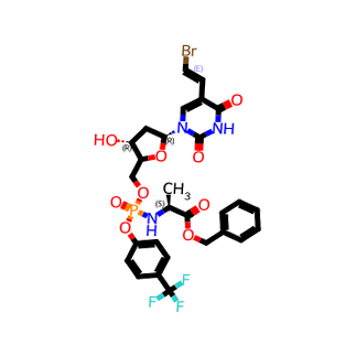 C[C@H](NP(=O)(OCC1O[C@@H](n2cc(/C=C/Br)c(=O)[nH]c2=O)C[C@H]1O)Oc1ccc(C(F)(F)F)cc1)C(=O)OCc1ccccc1